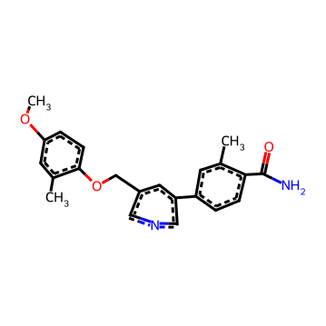 COc1ccc(OCc2cncc(-c3ccc(C(N)=O)c(C)c3)c2)c(C)c1